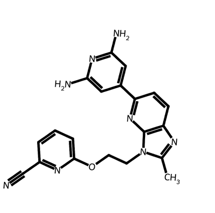 Cc1nc2ccc(-c3cc(N)nc(N)c3)nc2n1CCOc1cccc(C#N)n1